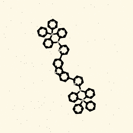 c1ccc([Si]2(c3ccccc3)c3ccccc3N(c3cccc(-c4ccc5sc6ccc(-c7cccc(N8c9ccccc9[Si](c9ccccc9)(c9ccccc9)c9ccccc98)n7)cc6c5c4)n3)c3ccccc32)cc1